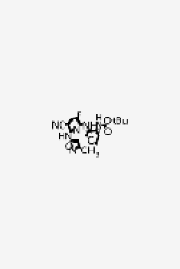 Cc1cc(Nc2nc(N[C@@H]3CCCC[C@@H]3NC(=O)OC(C)(C)C)c(F)cc2C#N)on1